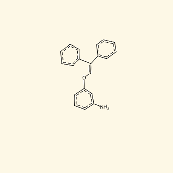 Nc1cccc(OC=C(c2ccccc2)c2ccccc2)c1